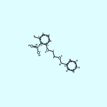 Cc1cccc(OCCOCc2ccccc2)c1[N+](=O)[O-]